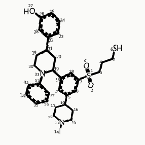 O=S(=O)(CCCS)c1cc(C2CCN(I)CC2)cc(C2CC(c3cccc(O)c3)CCN2c2ccccc2)c1